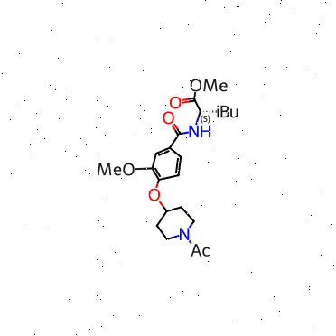 CCC(C)[C@H](NC(=O)c1ccc(OC2CCN(C(C)=O)CC2)c(OC)c1)C(=O)OC